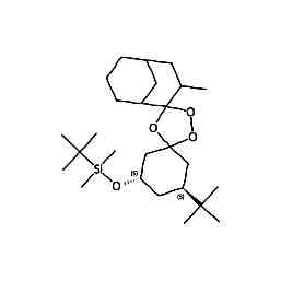 CC1CC2CCCC(C2)C12OOC1(C[C@@H](O[Si](C)(C)C(C)(C)C)C[C@H](C(C)(C)C)C1)O2